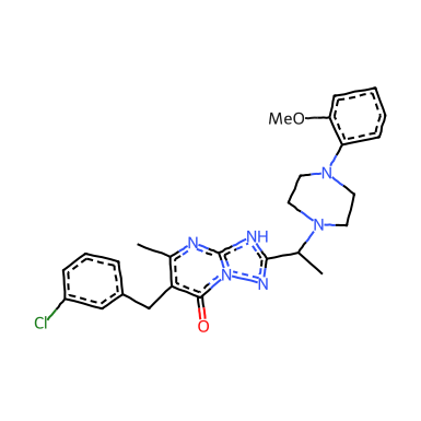 COc1ccccc1N1CCN(C(C)c2nn3c(=O)c(Cc4cccc(Cl)c4)c(C)nc3[nH]2)CC1